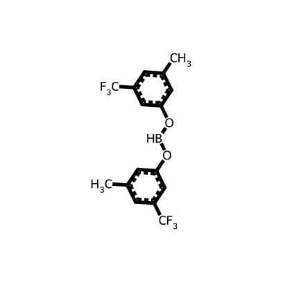 Cc1cc(OBOc2cc(C)cc(C(F)(F)F)c2)cc(C(F)(F)F)c1